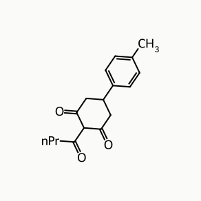 CCCC(=O)C1C(=O)CC(c2ccc(C)cc2)CC1=O